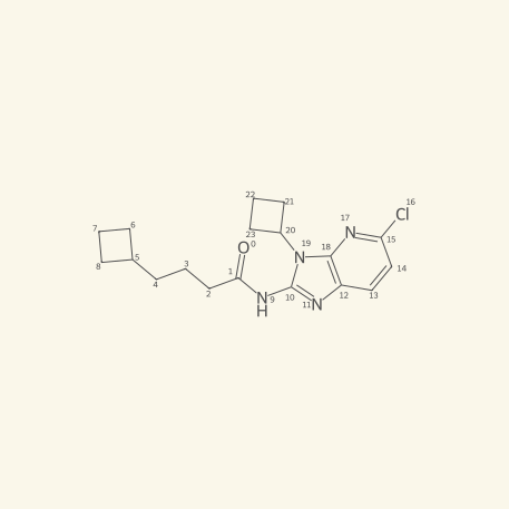 O=C(CCCC1CCC1)Nc1nc2ccc(Cl)nc2n1C1CCC1